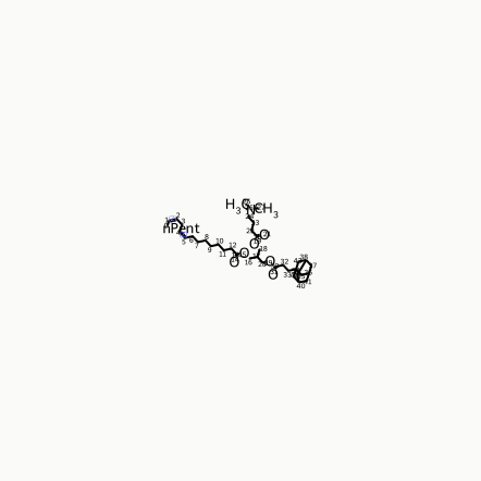 CCCCC/C=C\C/C=C\CCCCCCCC(=O)OCC(COC(=O)CCCN(C)C)COC(=O)CCC12CC3CC(CC(C3)C1)C2